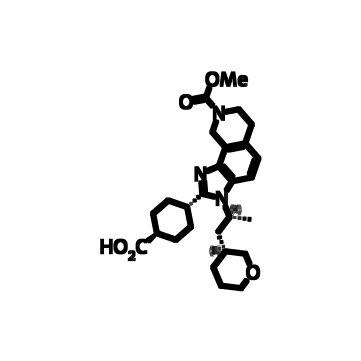 COC(=O)N1CCc2ccc3c(nc([C@H]4CC[C@H](C(=O)O)CC4)n3[C@H](C)C[C@H]3CCCOC3)c2C1